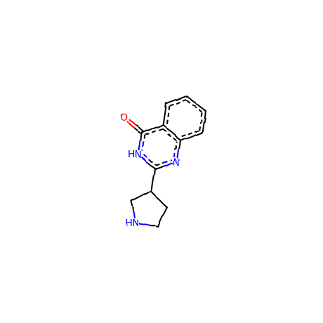 O=c1[nH]c(C2CCNC2)nc2ccccc12